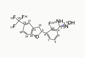 N/C(=N\O)c1cccc(C2Cc3cc(C(F)(F)F)ccc3O2)c1F